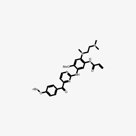 C=CC(=O)Nc1cc(Nc2nccc(C(=O)c3ccc(OCCCC)cc3)n2)c(OC)cc1N(C)CCN(C)C